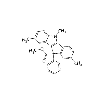 COC(=O)C1(c2ccccc2)c2cc(C)ccc2-c2c1c1cc(C)ccc1n2C